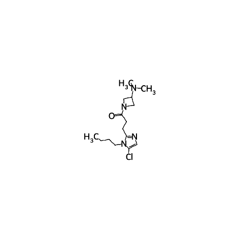 CCCCn1c(Cl)cnc1CCC(=O)N1CC(N(C)C)C1